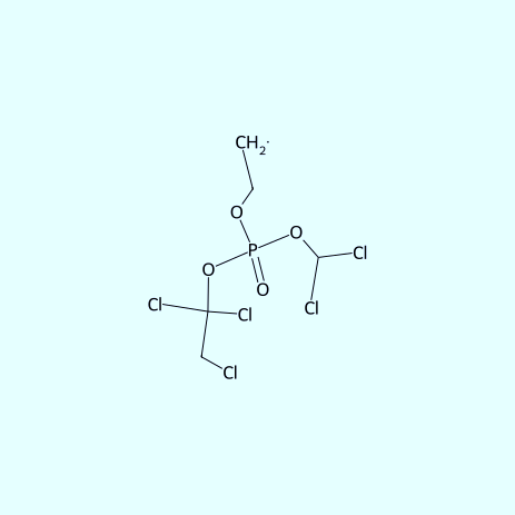 [CH2]COP(=O)(OC(Cl)Cl)OC(Cl)(Cl)CCl